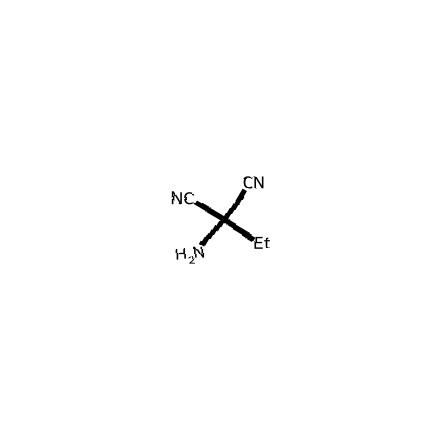 CCC(N)(C#N)C#N